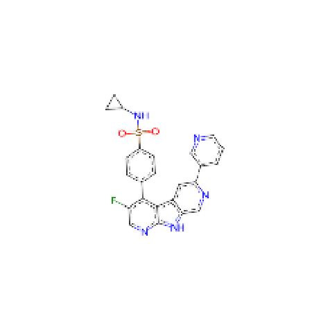 O=S(=O)(NC1CC1)c1ccc(-c2c(F)cnc3[nH]c4cnc(-c5cccnc5)cc4c23)cc1